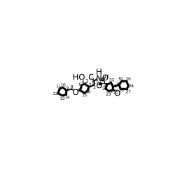 O=C(O)C(Cc1ccc(OCc2ccccc2)cc1)NS(=O)(=O)c1ccc2oc3ccccc3c2c1